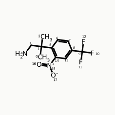 CC(C)(CN)c1ccc(C(F)(F)F)cc1[N+](=O)[O-]